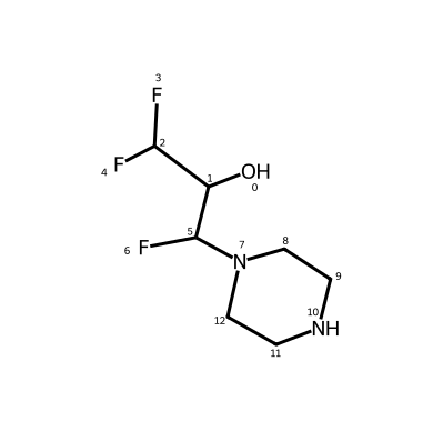 OC(C(F)F)C(F)N1CCNCC1